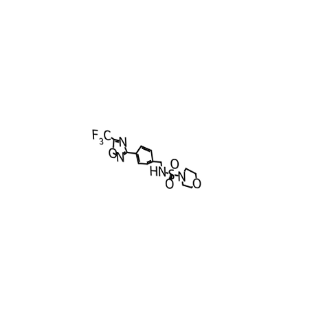 O=S(=O)(NCc1ccc(-c2noc(C(F)(F)F)n2)cc1)N1CCOCC1